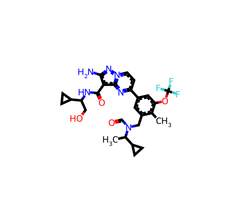 Cc1c(CN(C=O)C(C)C2CC2)cc(-c2ccn3nc(N)c(C(=O)NC(CO)C4CC4)c3n2)cc1OC(F)(F)F